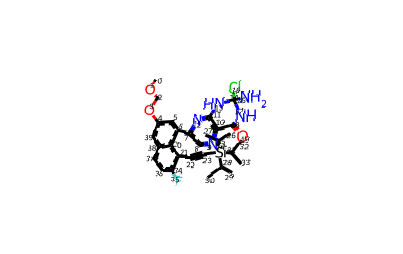 COCOc1cc(-c2cnc3c(n2)NC(N)(Cl)NC3=O)c2c(C#C[Si](C(C)C)(C(C)C)C(C)C)c(F)ccc2c1